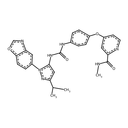 CNC(=O)c1cc(Oc2ccc(NC(=O)Nc3cc(C(C)C)nn3-c3ccc4ocnc4c3)cc2)ccn1